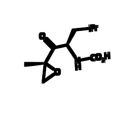 CC(C)C[C@@H](NC(=O)O)C(=O)[C@@]1(C)CO1